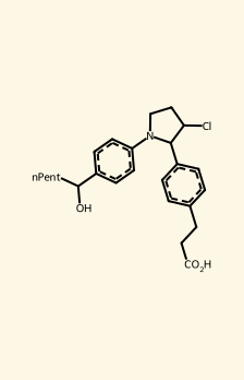 CCCCCC(O)c1ccc(N2CCC(Cl)C2c2ccc(CCC(=O)O)cc2)cc1